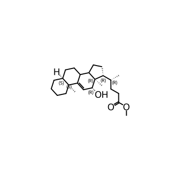 COC(=O)CC[C@@H](C)[C@H]1CCC2C3CC[C@@H]4CCCC[C@]4(C)C3=C[C@@H](O)[C@@]21C